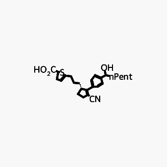 CCCCCC(O)c1ccc(C2=C(C#N)CC[C@@H]2CCCC2=CCC(C(=O)O)S2)cc1